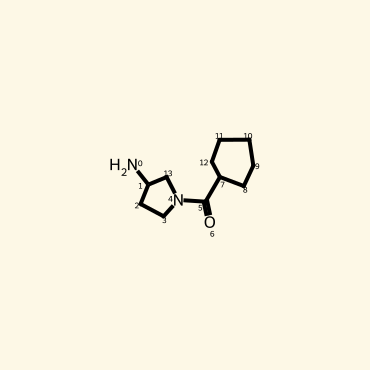 NC1CCN(C(=O)C2CCCCC2)C1